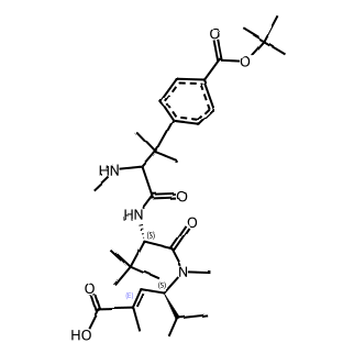 CNC(C(=O)N[C@H](C(=O)N(C)[C@H](/C=C(\C)C(=O)O)C(C)C)C(C)(C)C)C(C)(C)c1ccc(C(=O)OC(C)(C)C)cc1